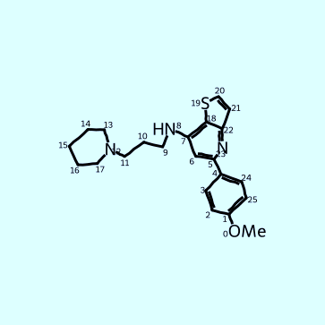 COc1ccc(-c2cc(NCCCN3CCCCC3)c3sccc3n2)cc1